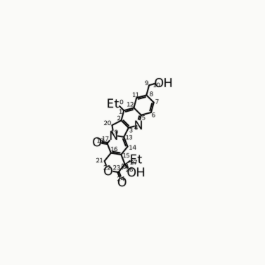 CCc1c2c(nc3ccc(CO)cc13)-c1cc3c(c(=O)n1C2)COC(=O)[C@]3(O)CC